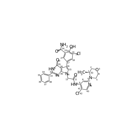 C[C@H]1COCCN1c1cc(NC(=O)Cn2cc(-c3cc(Cl)c(O)c(C(N)=O)c3)c3c(=O)[nH]c(-c4ccccc4)nc32)c(Cl)cn1